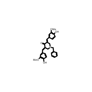 COc1cc(/C=C2\CN(Cc3ccccc3)C/C(=C\c3ccc(O)c(OC)c3)C2=O)ccc1O